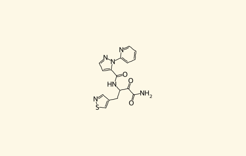 NC(=O)C(=O)C(Cc1cnsc1)NC(=O)c1ccnn1-c1ccccn1